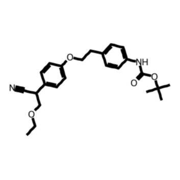 CCOCC(C#N)c1ccc(OCCc2ccc(NC(=O)OC(C)(C)C)cc2)cc1